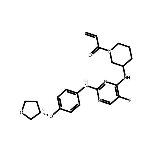 C=CC(=O)N1CCCC(Nc2nc(Nc3ccc(O[C@H]4CCOC4)cc3)ncc2F)C1